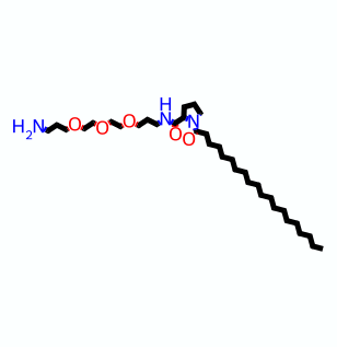 CCCCCCCCCCCCCCCCCCCC(=O)N1CCCC1C(=O)NCCCOCCOCCOCCCN